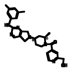 Cc1cc(C)cc(Nc2ncc3c(n2)CN([C@@H]2CCN(C(=O)c4ccnc(CO)c4)[C@H](C)C2)C3)c1